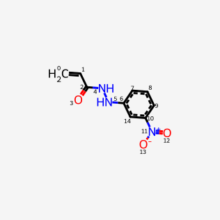 C=CC(=O)NNc1cccc([N+](=O)[O-])c1